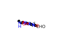 Cc1cc(N=Nc2ccc(OC=O)cc2S(=O)(=O)O)c(C)cc1N=Nc1cc(C)c(N=Nc2ccc3cc(Nc4ccccc4)ccc3c2O)cc1C